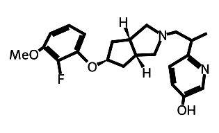 COc1cccc(O[C@H]2C[C@@H]3CN(CC(C)c4ccc(O)cn4)C[C@@H]3C2)c1F